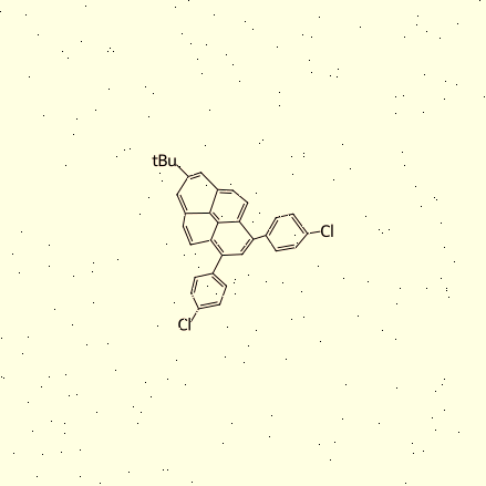 CC(C)(C)c1cc2ccc3c(-c4ccc(Cl)cc4)cc(-c4ccc(Cl)cc4)c4ccc(c1)c2c34